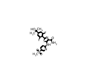 CC(C)(O)c1cc(F)c(-c2nc(C(N)=O)c(Nc3ccc(S(C)(=O)=O)cn3)s2)c(F)c1